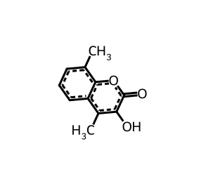 Cc1c(O)c(=O)oc2c(C)cccc12